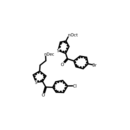 CCCCCCCCCCCCc1csc(C(=O)c2ccc(Cl)cc2)c1.CCCCCCCCc1csc(C(=O)c2ccc(Br)cc2)c1